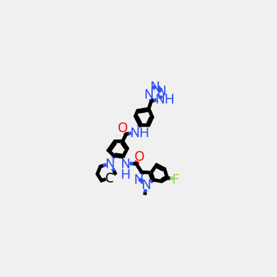 Cn1nc(C(=O)Nc2cc(C(=O)Nc3ccc(-c4nnn[nH]4)cc3)ccc2N2CCCCC2)c2ccc(F)cc21